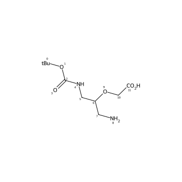 CC(C)(C)OC(=O)NCC(CN)OCC(=O)O